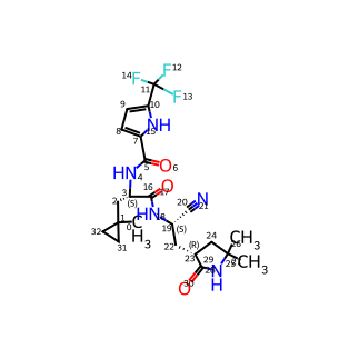 CC1(C[C@H](NC(=O)c2ccc(C(F)(F)F)[nH]2)C(=O)N[C@H](C#N)C[C@@H]2CC(C)(C)NC2=O)CC1